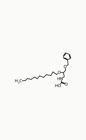 CCCCCCCCCCCCOC(CNC(=O)O)COCc1ccccc1